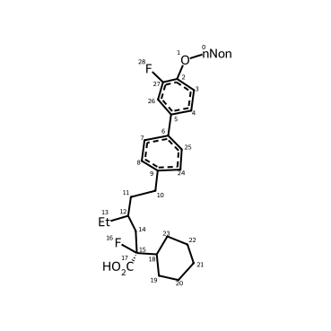 CCCCCCCCCOc1ccc(-c2ccc(CCC(CC)C[C@@](F)(C(=O)O)C3CCCCC3)cc2)cc1F